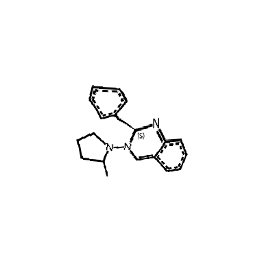 CC1CCCN1N1C=c2ccccc2=N[C@@H]1c1ccccc1